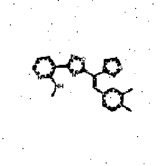 CNc1ncccc1-c1noc(C(=Cc2ccc(C)c(C)c2)c2ccsc2)n1